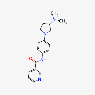 CN(C)C1CCN(c2ccc(NC(=O)c3cc[c]nc3)cc2)C1